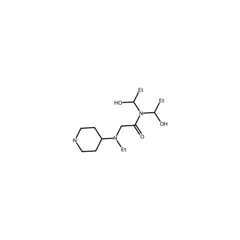 CCC(O)N(C(=O)CN(CC)C1CC[N]CC1)C(O)CC